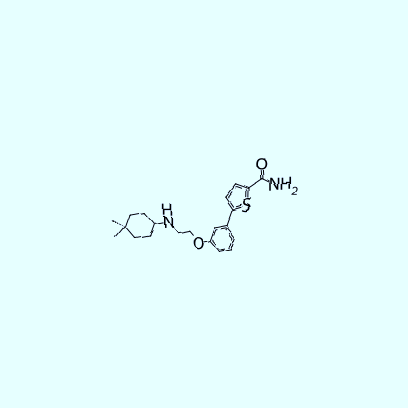 CC1(C)CCC(NCCOc2cccc(-c3ccc(C(N)=O)s3)c2)CC1